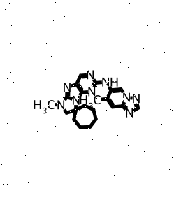 Cc1cc2ncnn2cc1Nc1ncc2nc3n(c2n1)C1(CCCCCC1)CN3C